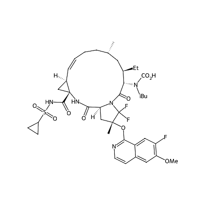 CCC(C)N(C(=O)O)[C@@H]1C(=O)N2[C@@H](C[C@@](C)(Oc3nccc4cc(OC)c(F)cc34)C2(F)F)C(=O)N[C@]2(C(=O)NS(=O)(=O)C3CC3)C[C@H]2/C=C\CC[C@H](C)C[C@H]1CC